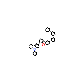 C1=CC2c3cc(-c4cccc5c4oc4ccc(-c6cccc(-c7cccc(-c8ccccc8)c7)c6)cc45)ccc3N(c3ccccc3)C2C=C1